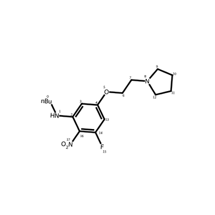 CCCCNc1cc(OCCN2CCCC2)cc(F)c1[N+](=O)[O-]